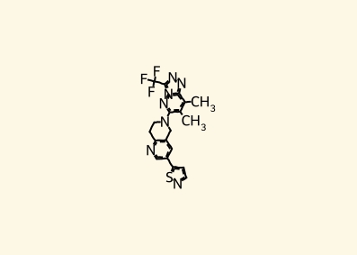 Cc1c(N2CCc3ncc(-c4ccns4)cc3C2)nn2c(C(F)(F)F)nnc2c1C